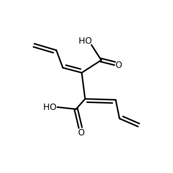 C=CC=C(C(=O)O)C(=CC=C)C(=O)O